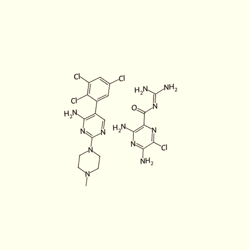 CN1CCN(c2ncc(-c3cc(Cl)cc(Cl)c3Cl)c(N)n2)CC1.NC(N)=NC(=O)c1nc(Cl)c(N)nc1N